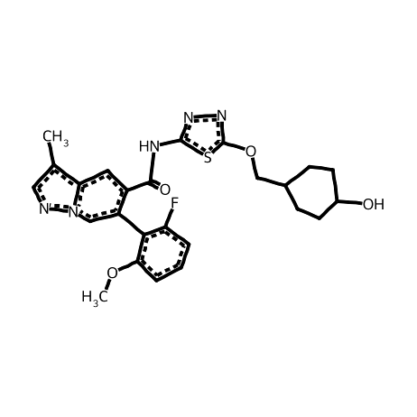 COc1cccc(F)c1-c1cn2ncc(C)c2cc1C(=O)Nc1nnc(OCC2CCC(O)CC2)s1